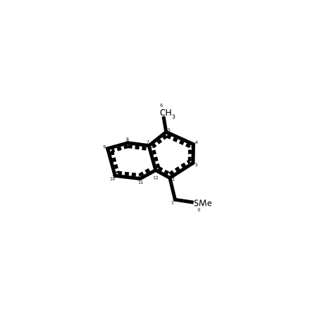 CSCc1ccc(C)c2ccccc12